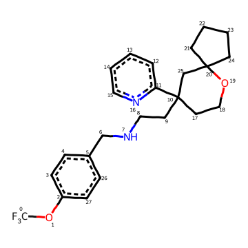 FC(F)(F)Oc1ccc(CNCCC2(c3ccccn3)CCOC3(CCCC3)C2)cc1